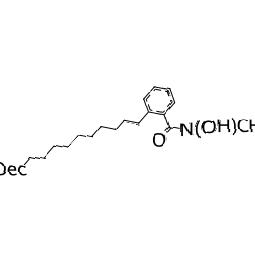 CCCCCCCCCCCCCCCCCCC=Cc1ccccc1C(=O)N(C)O